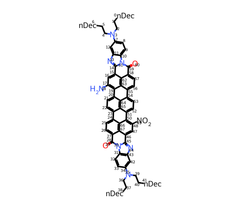 CCCCCCCCCCCCN(CCCCCCCCCCCC)c1ccc2c(c1)nc1c3cc(N)c4c5ccc6c7ccc8c(=O)n9c%10ccc(N(CCCCCCCCCCCC)CCCCCCCCCCCC)cc%10nc9c9cc([N+](=O)[O-])c(c%10ccc(c%11ccc(c(=O)n21)c3c%114)c5c6%10)c7c89